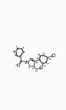 O=C(c1cccnc1)N1CC2COc3cc(Cl)ccc3C2=N1